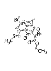 CCOC(=O)c1noc(C2CC2)c1C(=O)c1ccc(Br)cc1CSC